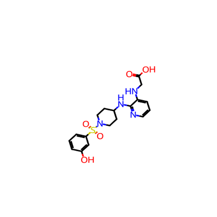 O=C(O)CNc1cccnc1NC1CCN(S(=O)(=O)c2cccc(O)c2)CC1